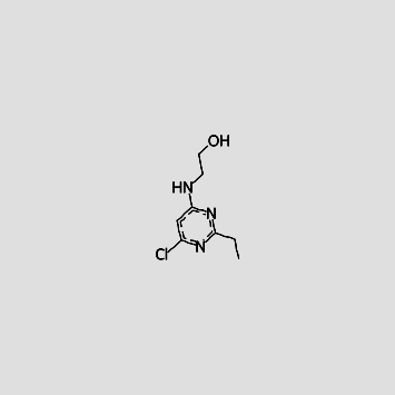 CCc1nc(Cl)cc(NCCO)n1